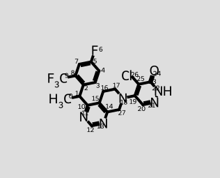 CC(c1ccc(F)cc1C(F)(F)F)c1ncnc2c1CCN(c1cn[nH]c(=O)c1Cl)C2